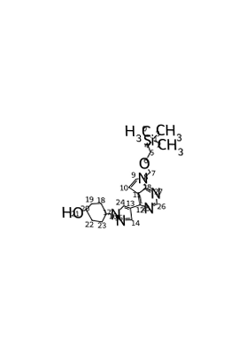 C[Si](C)(C)CCOCn1ccc2c(-c3cnn(C4CCC(O)CC4)c3)ncnc21